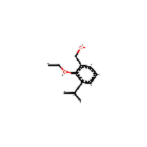 CCOc1c([CH]O)cccc1C(C)C